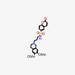 COc1cc2c(cc1OC)CN(CCCNS(=O)(=O)c1ccc3oc(=O)ccc3c1)CC2